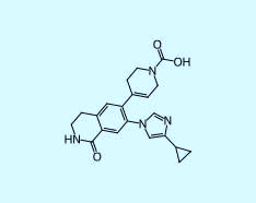 O=C1NCCc2cc(C3=CCN(C(=O)O)CC3)c(-n3cnc(C4CC4)c3)cc21